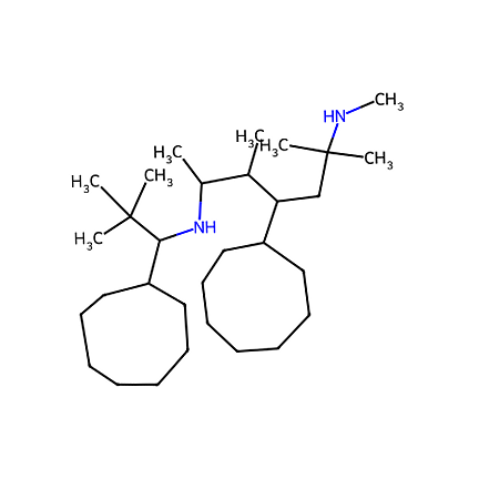 CNC(C)(C)CC(C1CCCCCCC1)C(C)C(C)NC(C1CCCCCCC1)C(C)(C)C